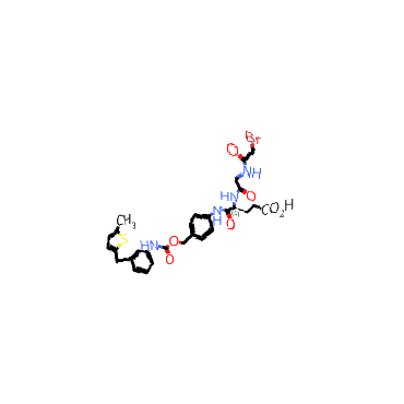 Cc1ccc(Cc2cccc(NC(=O)OCc3ccc(NC(=O)[C@H](CCC(=O)O)NC(=O)CNC(=O)CBr)cc3)c2)s1